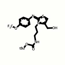 CC(C)(C)OC(=O)NCCCn1c(CO)csc1=Nc1ccc(OC(F)(F)F)cc1